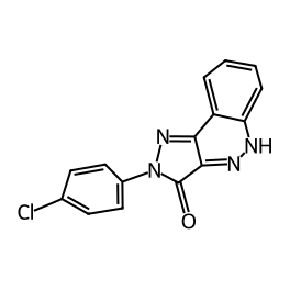 O=c1c2n[nH]c3ccccc3c-2nn1-c1ccc(Cl)cc1